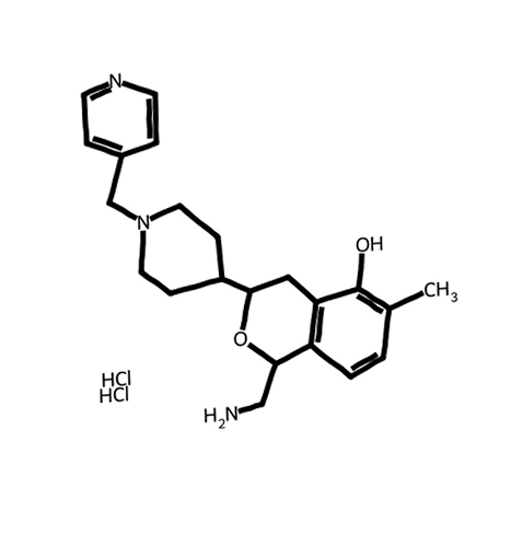 Cc1ccc2c(c1O)CC(C1CCN(Cc3ccncc3)CC1)OC2CN.Cl.Cl